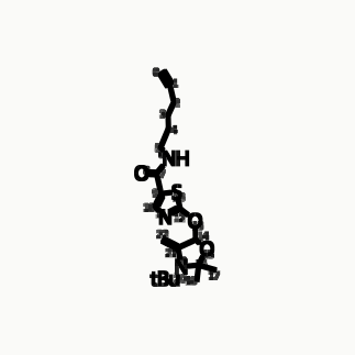 C#CCCCCNC(=O)c1cnc(OC2OC(C)(C)N(C(C)(C)C)C2=C)s1